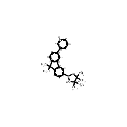 CC1(C)c2ccc(B3OC(C)(C)C(C)(C)O3)cc2-c2cc(-c3cccnc3)ccc21